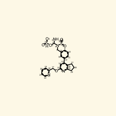 NC(O[SH](=O)=O)N(Cc1cccc(-c2cc(OCc3ccccn3)nc3c2CCC3)c1)[SH](=O)=O